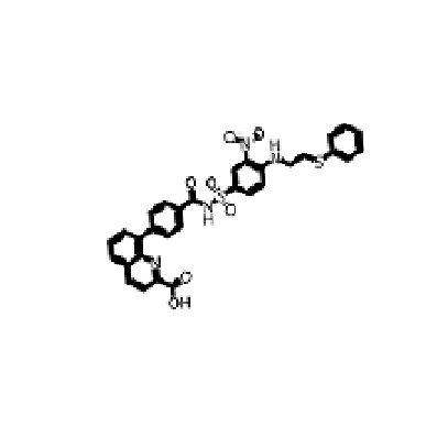 O=C(NS(=O)(=O)c1ccc(NCCSc2ccccc2)c([N+](=O)[O-])c1)c1ccc(-c2cccc3ccc(C(=O)O)nc23)cc1